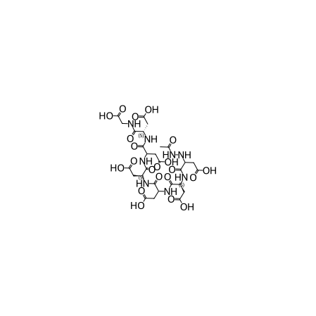 CC(=O)NNC(CC(=O)O)C(=O)N[C@@H](CC(=O)O)C(=O)NC(CC(=O)O)C(=O)N[C@@H](CC(=O)O)C(=O)NC(CC(=O)O)C(=O)N[C@@H](CC(=O)O)C(=O)NCC(=O)O